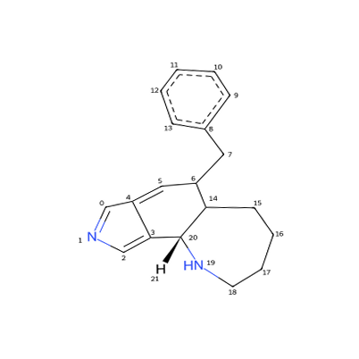 C1=NC=C2C1=CC(Cc1ccccc1)C1CCCCN[C@H]21